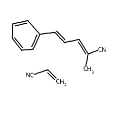 C=CC#N.CC(C#N)=CC=Cc1ccccc1